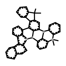 CC1(C)c2ccccc2-c2c1cc1c3c2-c2cccc4c5c6ccccc6ccc5n(c24)B3c2cccc3c2N1c1ccccc1S3(C)C